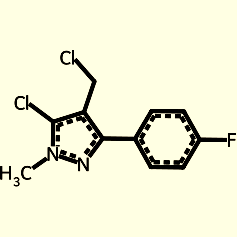 Cn1nc(-c2ccc(F)cc2)c(CCl)c1Cl